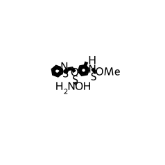 COC(=S)Nc1ccc(OCc2nc3ccccc3s2)cc1C.NC(O)=S